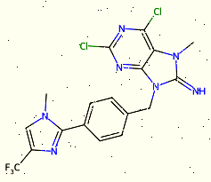 Cn1cc(C(F)(F)F)nc1-c1ccc(Cn2c(=N)n(C)c3c(Cl)nc(Cl)nc32)cc1